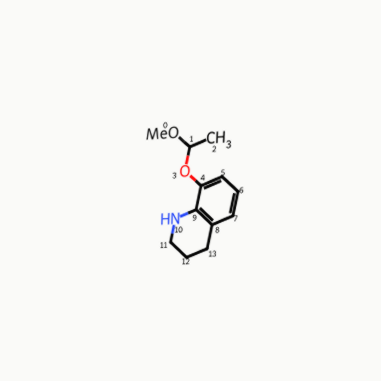 COC(C)Oc1cccc2c1NCCC2